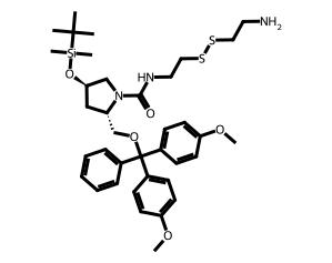 COc1ccc(C(OC[C@@H]2C[C@@H](O[Si](C)(C)C(C)(C)C)CN2C(=O)NCCSSCCN)(c2ccccc2)c2ccc(OC)cc2)cc1